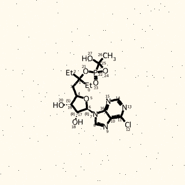 CCC(CC)(CC1O[C@@H](n2cnc3c(Cl)ncnc32)[C@H](O)[C@@H]1O)OP1(=O)OC1(C)O